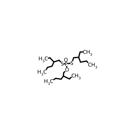 CCCC(CC)COP(=O)(SCC(CC)CCC)SCC(CC)CCC